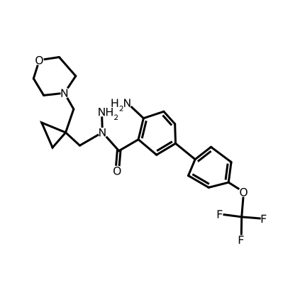 Nc1ccc(-c2ccc(OC(F)(F)F)cc2)cc1C(=O)N(N)CC1(CN2CCOCC2)CC1